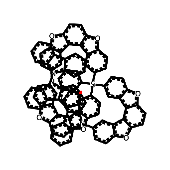 c1ccc([Si](c2ccc3oc4ccc5oc6ccc(-n7c8ccccc8c8ccccc87)cc6c5c4c3c2)(c2ccc3oc4ccc5oc6ccc(-n7c8ccccc8c8ccccc87)cc6c5c4c3c2)c2ccc3oc4ccc5oc6ccc(-n7c8ccccc8c8ccccc87)cc6c5c4c3c2)cc1